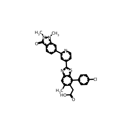 Cc1cc2nc(-c3ccnc(-c4ccc5c(=O)n(C)n(C)c5c4)c3)sc2c(-c2ccc(Cl)cc2)c1CC(=O)O